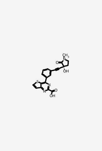 CN1CC[C@@](O)(C#Cc2cccc(-c3nc(C(=O)O)nc4ccsc34)c2)C1=O